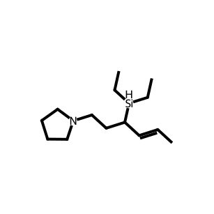 CC=CC(CCN1CCCC1)[SiH](CC)CC